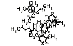 CCCCC(=O)NCC(=O)N(CC(=O)Nc1c(C)cccc1C)c1c(C)cccc1C.CCCCC(OCC)(OCC)OCC.Cl